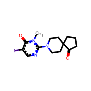 Cn1c(N2CCC3(CCCC3=O)CC2)ncc(I)c1=O